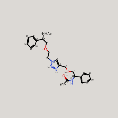 CC(=O)NC(COCCn1cc(COCC(NC(=O)C(C)C)c2ccccc2)nn1)c1ccccc1